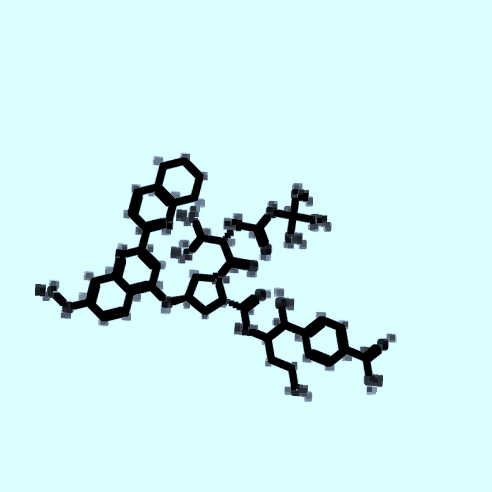 CCCC(NC(=O)[C@@H]1C[C@@H](Oc2cc(-c3ccc4c(n3)CCCC4)nc3cc(OC)ccc23)CN1C(=O)[C@@H](NC(=O)OC(C)(C)C)C(C)C)C(O)c1ccc(C(=O)O)cc1